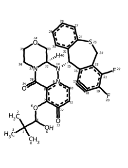 CC(C)(C)C(O)Oc1c2n(ccc1=O)N([C@H]1c3c#cc(F)c(F)c3CSc3ccccc31)[C@@H]1COCCN1C2=O